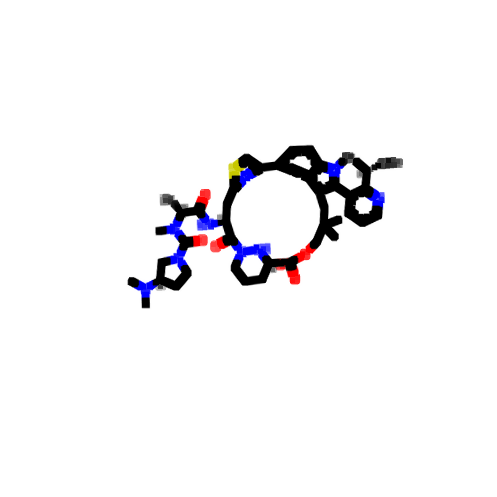 CCn1c(-c2cccnc2[C@H](C)OC)c2c3cc(ccc31)-c1csc(n1)C[C@H](NC(=O)[C@H](C(C)C)N(C)C(=O)N1CC[C@@H](N(C)C)C1)C(=O)N1CCC[C@@](O)(N1)C(=O)OCC(C)(C)C2